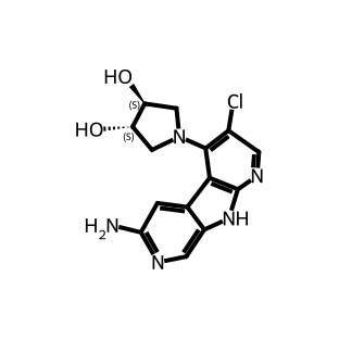 Nc1cc2c(cn1)[nH]c1ncc(Cl)c(N3C[C@H](O)[C@@H](O)C3)c12